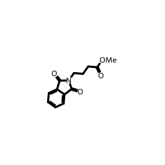 COC(=O)CCCN1C(=O)c2ccccc2C1=O